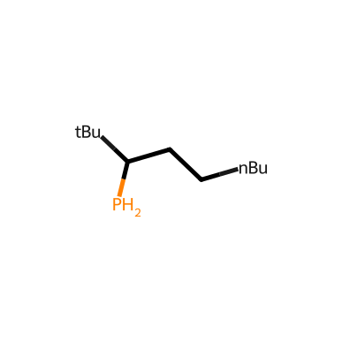 CCCCCCC(P)C(C)(C)C